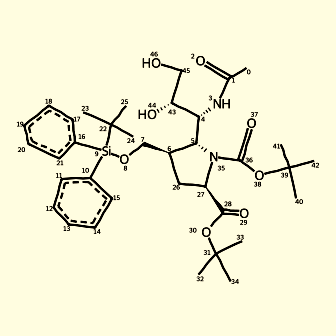 CC(=O)N[C@H]([C@H]1[C@H](CO[Si](c2ccccc2)(c2ccccc2)C(C)(C)C)C[C@H](C(=O)OC(C)(C)C)N1C(=O)OC(C)(C)C)[C@H](O)CO